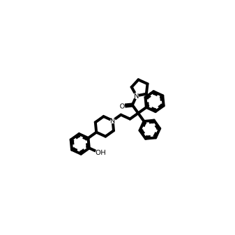 O=C(N1CCCC1)C(CCN1CCC(c2ccccc2O)CC1)(c1ccccc1)c1ccccc1